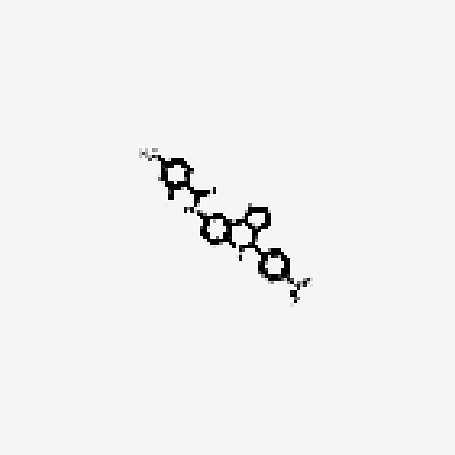 Cc1ccc(C(=O)Nc2ccc3c(c2)C2C=CCC2C(c2ccc([N+](=O)[O-])cc2)N3)c(Cl)c1